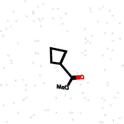 [CH2]OC(=O)C1CCC1